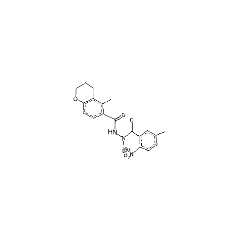 Cc1ccc([N+](=O)[O-])c(C(=O)N(NC(=O)c2ccc3c(c2C)CCCO3)C(C)(C)C)c1